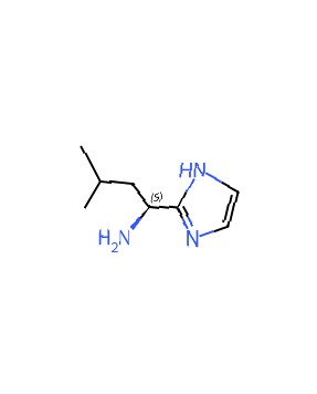 CC(C)C[C@H](N)c1ncc[nH]1